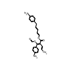 CC=CC(C(=O)OC=CC=CCc1ccc(N)cc1)=C(O[C]=O)c1ccc(N)cc1